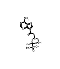 CC(C)C(O[C@H](CO)CC(=O)n1cnc2c(N)ncnc21)(C(C)C)P(=O)(O)O